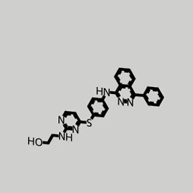 OCCNc1nccc(Sc2ccc(Nc3nnc(-c4ccccc4)c4ccccc34)cc2)n1